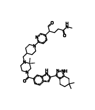 CNC(=O)CCC(C=O)c1ccc(N2CCC(CN3CCN(C(=O)c4ccc5cc(-c6n[nH]c7c6CCC(C)(C)C7)[nH]c5c4)CC3(C)C)CC2)nc1